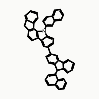 c1ccc2c(c1)Cc1ccc3c4cc(-c5ccc6c(c5)-c5ccccc5C6c5cccc6ccccc56)ccc4n(-c4ccc5ccccc5c4)c3c1-2